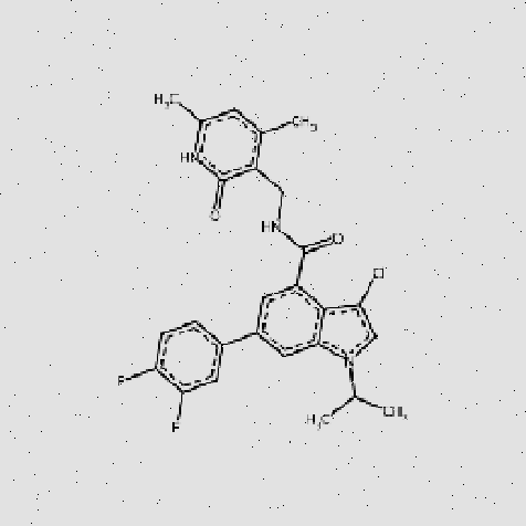 Cc1cc(C)c(CNC(=O)c2cc(-c3ccc(F)c(F)c3)cc3c2c(Cl)cn3C(C)C)c(=O)[nH]1